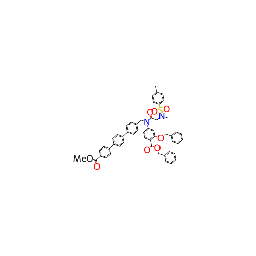 COC(=O)c1ccc(-c2ccc(-c3ccc(CN(C(=O)CN(C)S(=O)(=O)c4ccc(C)cc4)c4ccc(C(=O)OCc5ccccc5)c(OCc5ccccc5)c4)cc3)cc2)cc1